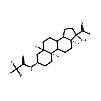 CC(=O)[C@@]1(O)CCC2C3CC[C@H]4C[C@H](NC(=O)C(F)(F)F)CC[C@]4(C)C3CC[C@@]21C